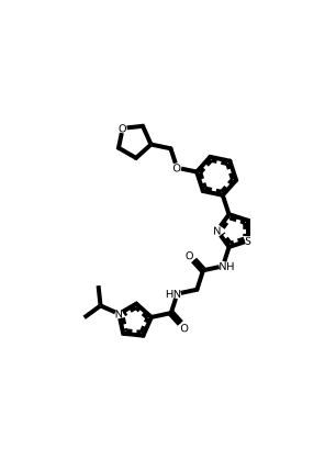 CC(C)n1ccc(C(=O)NCC(=O)Nc2nc(-c3cccc(OCC4CCOC4)c3)cs2)c1